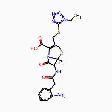 CCn1nnnc1SCC1=C(C(=O)O)N2C(=O)C(NC(=O)Cc3ccccc3N)[C@H]2SC1